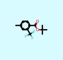 Cc1ccc(C(=O)OC(C)(C)C)c(C(F)(F)F)c1